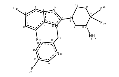 N[C@@H]1CN(c2nc3cc(F)cc(F)c3n2Cc2ccc(F)cn2)CCC1(F)F